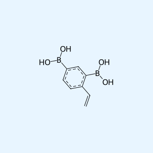 C=Cc1ccc(B(O)O)cc1B(O)O